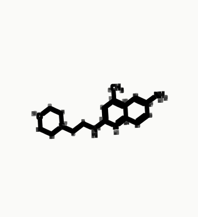 Cc1cc(NCCN2CCOCC2)nc2ccc(N)cc12